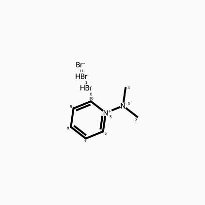 Br.Br.CN(C)[n+]1ccccc1.[Br-]